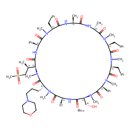 CC[C@@H]1NC(=O)[C@H]([C@H](O)[C@H](C)CC)N(C)C(=O)[C@H](C(C)C)N(C)C(=O)[C@H](CC(C)C)N(C)C(=O)[C@H](CC(C)C)N(C)C(=O)[C@@H](C)NC(=O)[C@H](C)NC(=O)[C@H](CC(C)C)N(C)C(=O)[C@H](C(C)C)NC(=O)[C@H]([C@H](C)CS(C)(=O)=O)N(C)C(=O)[C@@H](CCCN2CCOCC2)N(C)C1=O